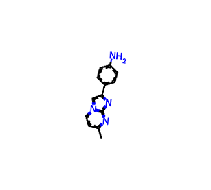 Cc1ccn2cc(-c3ccc(N)cc3)nc2n1